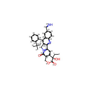 CCC1(O)C(=O)OCc2c1cc1n(c2=O)Cc2c-1nc1ccc(C=N)cc1c2-c1ccccc1C(C)(C)C